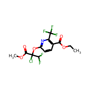 CCOC(=O)c1ccc(OC(Cl)(C(=O)OC)C(F)F)nc1C(F)(F)F